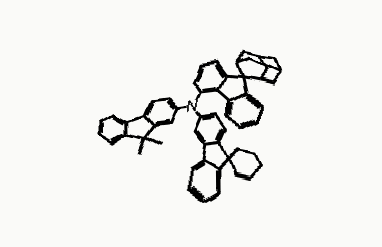 CC1(C)c2ccccc2-c2ccc(N(c3ccc4c(c3)-c3ccccc3C43CCCCC3)c3cccc4c3-c3ccccc3C43C4CC5CC(C4)CC3C5)cc21